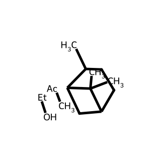 CC(C)=O.CC1CCC2CC1C2(C)C.CCO